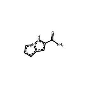 NC(=O)c1cc2cccn2[nH]1